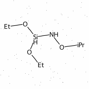 CCO[SiH](NOC(C)C)OCC